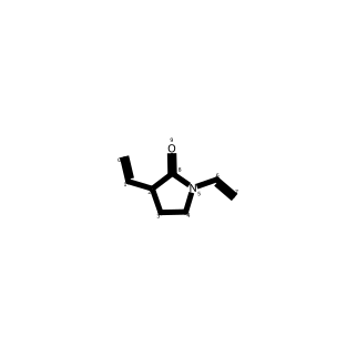 C=CC1CCN(C=C)C1=O